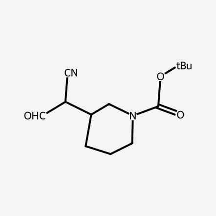 CC(C)(C)OC(=O)N1CCCC(C(C#N)C=O)C1